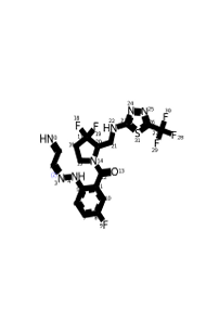 N=C/C=N\Nc1ccc(F)cc1C(=O)N1CCC(F)(F)C1CNc1nnc(C(F)(F)F)s1